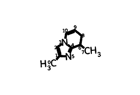 Cc1cn2c(n1)C(C)CC=C2